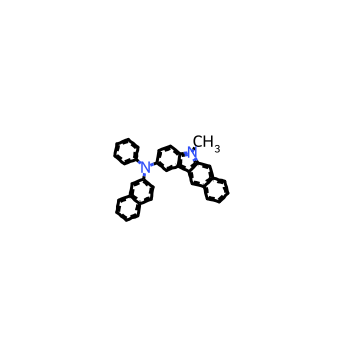 Cn1c2ccc(N(c3ccccc3)c3ccc4ccccc4c3)cc2c2cc3ccccc3cc21